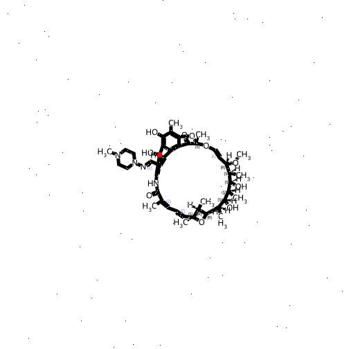 CO[C@H]1/C=C/O[C@@]2(C)Oc3c(C)c(O)c4c(O)c(c(/C=N/N5CCN(C)CC5)c(O)c4c3C2=O)NC(=O)/C(C)=C\C=C\[C@]2(C)O[C@H]([C@@H](C)[C@@H](O)[C@@H](C)[C@H](O)[C@@H]1C)[C@H]2C